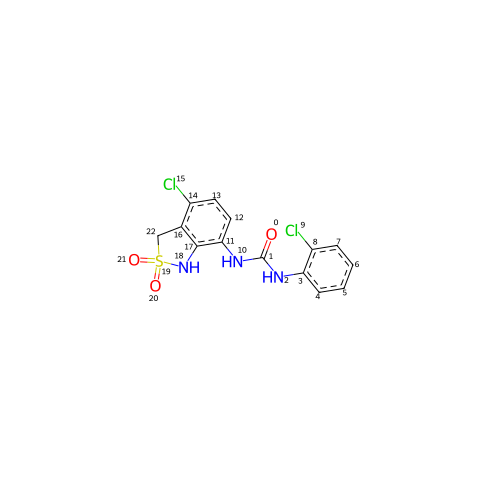 O=C(Nc1ccccc1Cl)Nc1ccc(Cl)c2c1NS(=O)(=O)C2